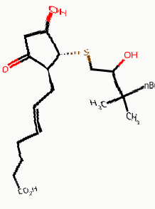 CCCCC(C)(C)C(O)CS[C@H]1C(O)CC(=O)[C@@H]1CC=CCCCC(=O)O